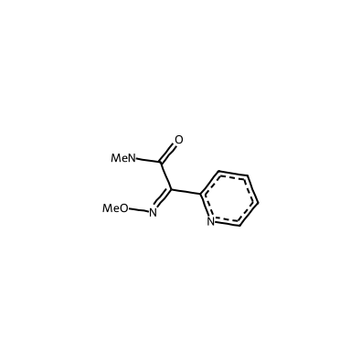 CNC(=O)C(=NOC)c1ccccn1